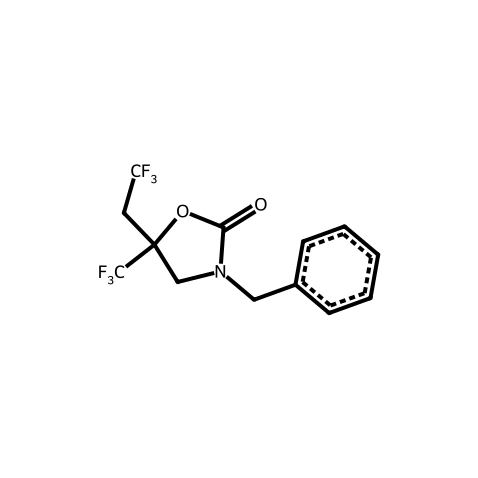 O=C1OC(CC(F)(F)F)(C(F)(F)F)CN1Cc1ccccc1